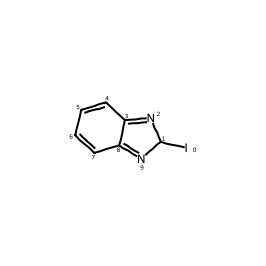 IC1N=c2ccccc2=N1